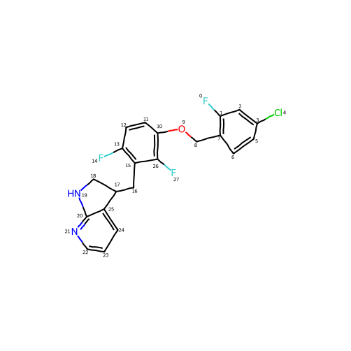 Fc1cc(Cl)ccc1COc1ccc(F)c(CC2CNc3ncccc32)c1F